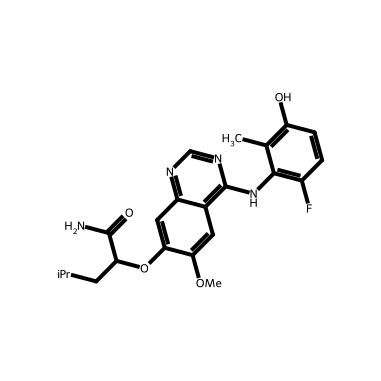 COc1cc2c(Nc3c(F)ccc(O)c3C)ncnc2cc1OC(CC(C)C)C(N)=O